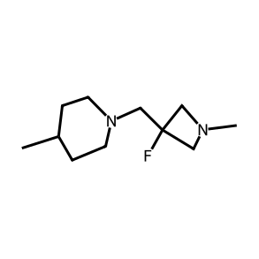 CC1CCN(CC2(F)CN(C)C2)CC1